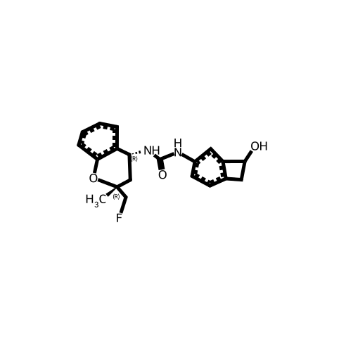 C[C@]1(CF)C[C@@H](NC(=O)Nc2ccc3c(c2)C(O)C3)c2ccccc2O1